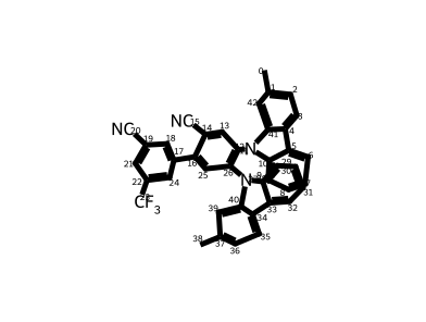 Cc1ccc2c3ccccc3n(-c3cc(C#N)c(-c4cc(C#N)cc(C(F)(F)F)c4)cc3-n3c4ccccc4c4ccc(C)cc43)c2c1